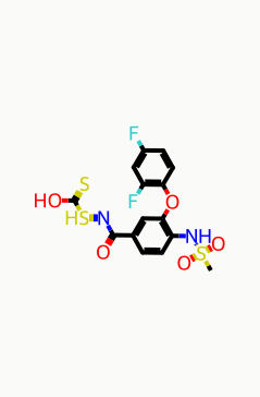 CS(=O)(=O)Nc1ccc(C(=O)N=[SH]C(O)=S)cc1Oc1ccc(F)cc1F